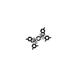 Cc1ccc(OP(=O)(Oc2ccc(C)cc2C)N2CCN(P(=O)(Oc3ccc(C)cc3C)Oc3ccc(C)cc3C)CC2)c(C)c1